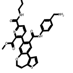 CCCNC(=O)c1ccc(-c2cc3c(cc2C(=O)Nc2ccc(CN)cc2)-c2ccsc2CCO3)c(C(=O)OC)n1